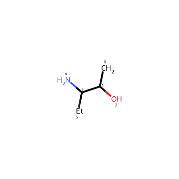 [CH2]C(O)C(N)CC